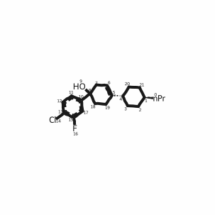 CCC[C@H]1CC[C@H](C2=CCC(O)(c3ccc(Cl)c(F)c3)CC2)CC1